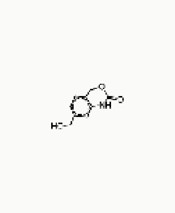 O=C1Nc2cc(CO)ccc2CO1